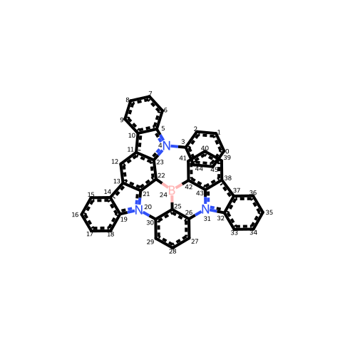 c1ccc(-n2c3ccccc3c3cc4c5ccccc5n5c4c(c32)B2c3c(cccc3-5)-n3c4ccccc4c4cccc2c43)cc1